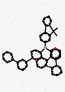 CC1(C)c2ccccc2-c2ccc(N(c3ccc(-c4cccc(-c5ccccc5)c4)cc3)c3ccccc3-c3ccccc3-c3ccccc3-c3ccccc3)cc21